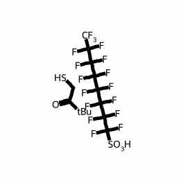 CC(C)(C)C(=O)CS.O=S(=O)(O)C(F)(F)C(F)(F)C(F)(F)C(F)(F)C(F)(F)C(F)(F)C(F)(F)C(F)(F)F